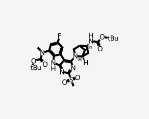 CN(C(=O)OC(C)(C)C)c1cc(F)cc2c1[nH]c1nc(S(C)(=O)=O)nc(N3CC4C[C@@H]3C[C@H]4NC(=O)OC(C)(C)C)c12